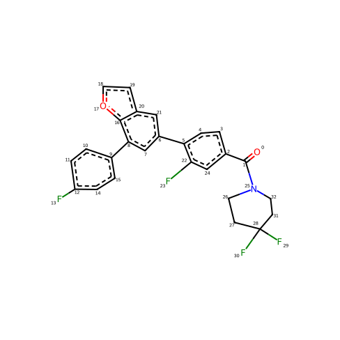 O=C(c1ccc(-c2cc(-c3ccc(F)cc3)c3occc3c2)c(F)c1)N1CCC(F)(F)CC1